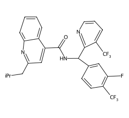 CC(C)Cc1cc(C(=O)NC(c2ccc(C(F)(F)F)c(F)c2)c2ncccc2C(F)(F)F)c2ccccc2n1